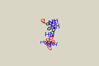 CCCC(C(=O)NC=O)N(C)Cc1c(C=O)cccc1NC(=O)CCOCCOCCNCc1ccc(N/C(=C2\C(=O)Nc3cc(C#CC=O)ccc32)c2ccccc2)cc1